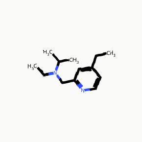 CCc1ccnc(CN(CC)C(C)C)c1